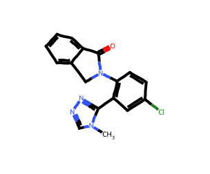 Cn1cnnc1-c1cc(Cl)ccc1N1Cc2ccccc2C1=O